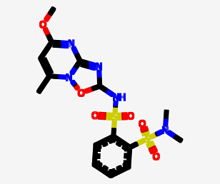 COC1=NC2=NC(NS(=O)(=O)c3ccccc3S(=O)(=O)N(C)C)ON2C(C)=C1